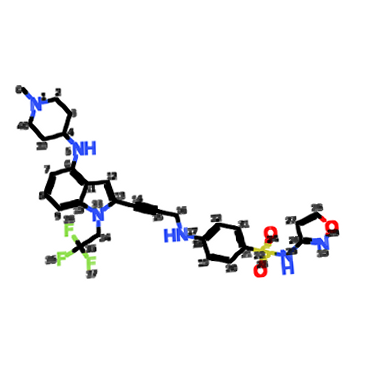 CN1CCC(Nc2cccc3c2cc(C#CCNc2ccc(S(=O)(=O)Nc4ccon4)cc2)n3CC(F)(F)F)CC1